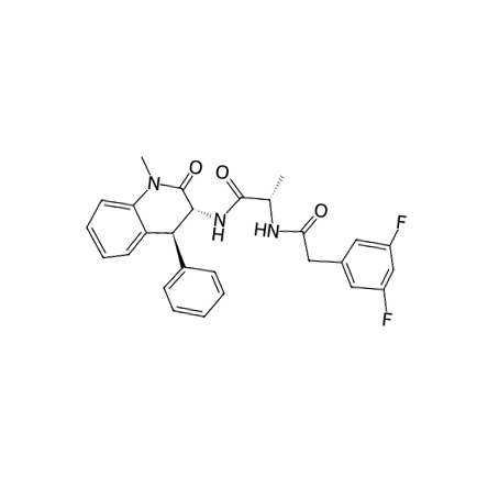 C[C@H](NC(=O)Cc1cc(F)cc(F)c1)C(=O)N[C@H]1C(=O)N(C)c2ccccc2[C@@H]1c1ccccc1